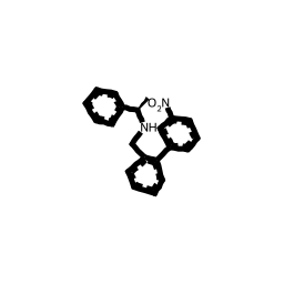 C[C@@H](NCc1ccccc1-c1cccc([N+](=O)[O-])c1)c1ccccc1